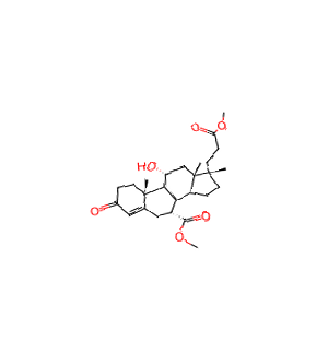 COC(=O)CC[C@]1(C)CCC2C3C([C@H](O)C[C@@]21C)[C@@]1(C)CCC(=O)C=C1C[C@H]3C(=O)OC